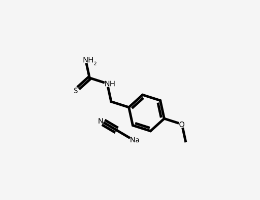 COc1ccc(CNC(N)=S)cc1.N#[C][Na]